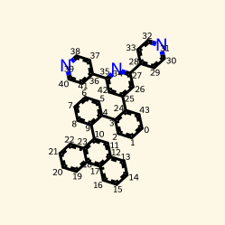 c1ccc(-c2ccccc2-c2cc3ccccc3c3ccccc23)c(-c2cc(-c3ccncc3)nc(-c3ccncc3)c2)c1